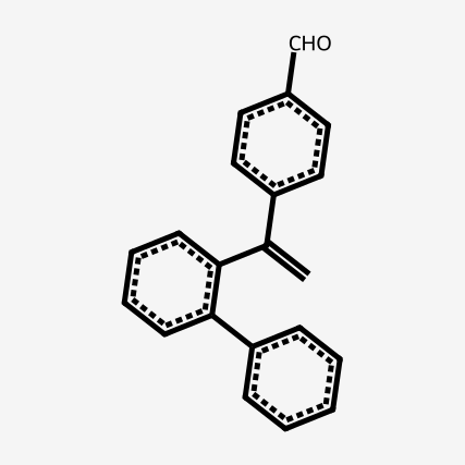 C=C(c1ccc(C=O)cc1)c1ccccc1-c1ccccc1